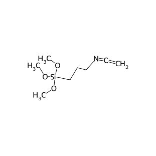 C=C=NCCC[Si](OC)(OC)OC